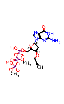 C#CCO[C@@H]1C[C@H](n2cnc3c(=O)[nH]c(N)nc32)O[C@@H]1COP(=O)(O)OP(=O)(OC)OP(=O)(O)OC